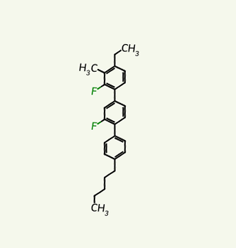 CCCCCc1ccc(-c2ccc(-c3ccc(CC)c(C)c3F)cc2F)cc1